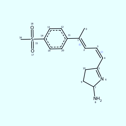 C/C(=C\C=C/C1=NC(N)CC1)c1ccc(S(C)(=O)=O)cc1